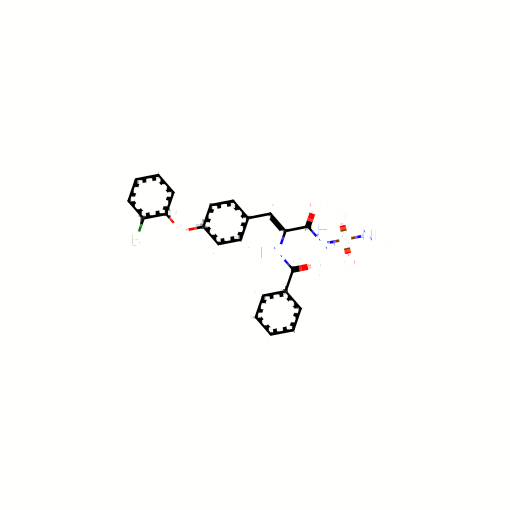 NS(=O)(=O)NC(=O)C(=Cc1ccc(Oc2ccccc2Br)cc1)NC(=O)c1ccccc1